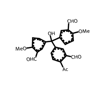 COc1ccc(C(O)(c2ccc(OC)c(C=O)c2)c2ccc(C(C)=O)c(C=O)c2)cc1C=O